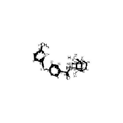 Cc1ccc(Sc2ccc(C(=O)N[C@@H]3C4CCN(CC4)[C@H]3C)cc2)s1